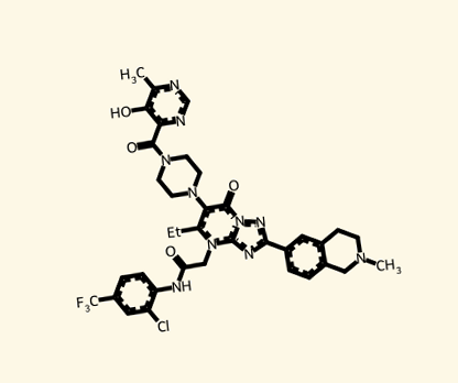 CCc1c(N2CCN(C(=O)c3ncnc(C)c3O)CC2)c(=O)n2nc(-c3ccc4c(c3)CCN(C)C4)nc2n1CC(=O)Nc1ccc(C(F)(F)F)cc1Cl